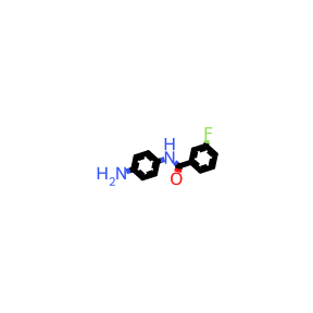 Nc1ccc(NC(=O)c2cccc(F)c2)cc1